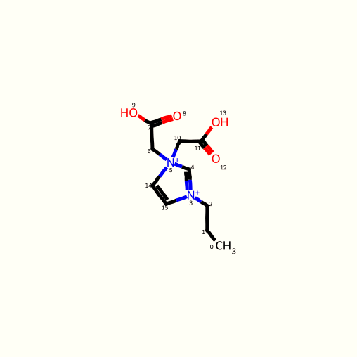 CCC[N+]1=C[N+](CC(=O)O)(CC(=O)O)C=C1